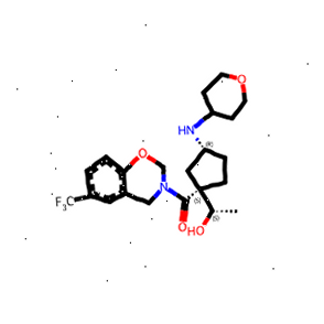 C[C@H](O)[C@]1(C(=O)N2COc3ccc(C(F)(F)F)cc3C2)CC[C@@H](NC2CCOCC2)C1